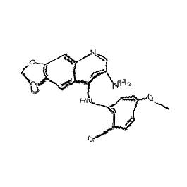 COc1ccc(Cl)c(Nc2c(N)cnc3cc4c(cc23)OCO4)c1